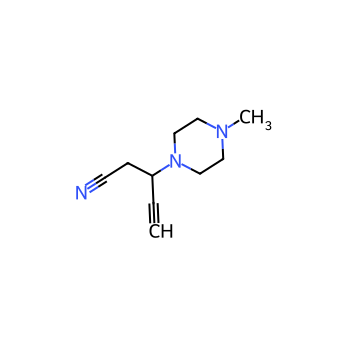 C#CC(CC#N)N1CCN(C)CC1